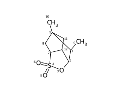 CC1C2OS(=O)(=O)C3CC1(C)CC23